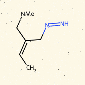 C/C=C(\CN=N)CNC